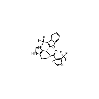 O=C(c1ocnc1C(F)(F)F)N1CCc2[nH]cnc2[C@@H]1c1oc2ccccc2c1C(F)(F)F